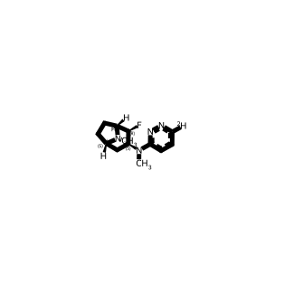 [2H]c1ccc(N(C)[C@H]2C[C@@H]3CC[C@H]([C@H]2F)N3C)nn1